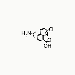 CC(C)N.O=C(O)c1cccc2ccc(Cl)nc12